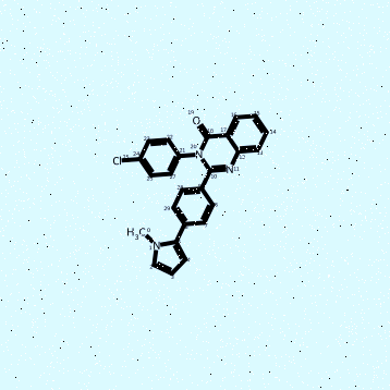 Cn1cccc1-c1ccc(-c2nc3ccccc3c(=O)n2-c2ccc(Cl)cc2)cc1